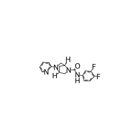 O=C(Nc1ccc(F)c(F)c1)N1C[C@H]2C[C@@H]1CN2c1ccccn1